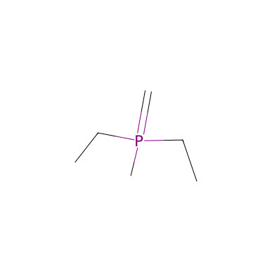 C=P(C)(CC)CC